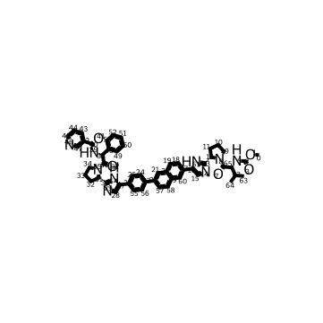 COC(=O)N[C@H](C(=O)N1CCC[C@H]1c1ncc(-c2ccc3cc(-c4ccc(-c5cnc([C@@H]6CCCN6C(=O)[C@H](NC(=O)c6cccnc6)c6ccccc6)[nH]5)cc4)ccc3c2)[nH]1)C(C)C